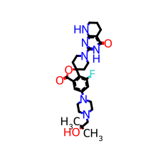 CC(C)(O)CN1CCN(c2cc(F)c3c(c2)C(=O)OC32CCN(c3nc4c(c(=O)[nH]3)CCCN4)CC2)CC1